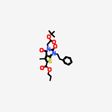 CCCOC(=O)c1sc2c(c1C)c(=O)n(CC(=O)OC(C)(C)C)c(=O)n2CCc1ccccc1